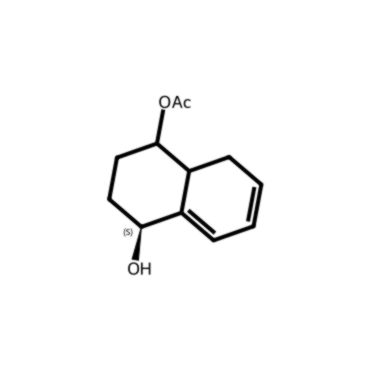 CC(=O)OC1CC[C@H](O)C2=CC=CCC21